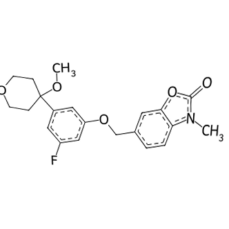 COC1(c2cc(F)cc(OCc3ccc4c(c3)oc(=O)n4C)c2)CCOCC1